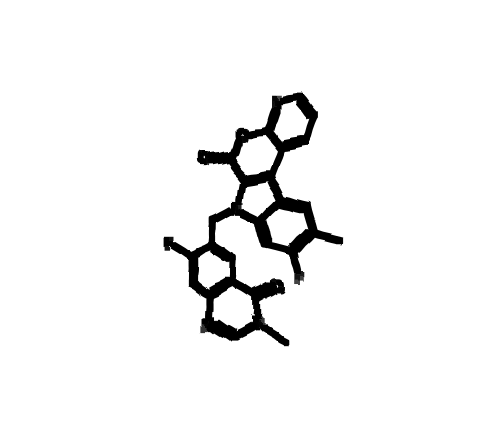 Cc1cc2c3c4cccnc4oc(=O)c3n(Cc3cc4c(=O)n(C)cnc4cc3F)c2cc1F